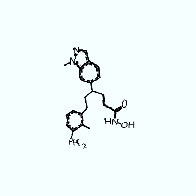 Cc1c(P)cccc1CCC(CCC(=O)NO)c1ccc2cnn(C)c2c1